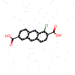 O=C(O)c1ccc2cc3c(Cl)c(C(=O)O)ccc3cc2c1